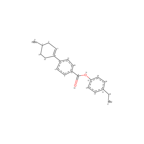 CCCCC1CC=C(c2ccc(C(=O)Oc3ccc(CC(C)CC)cc3)cc2)CC1